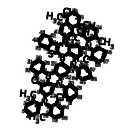 Cc1ccccc1N(c1cc2c3c(c1)N(c1ccccc1)c1cc4c(cc1B3c1ccccc1O2)B1c2sc3ccccc3c2N(c2ccc3c(c2)C(C)(C)CCC3(C)C)c2cc(N(c3ccccc3C)c3c(C)cccc3C)cc(c21)N4c1ccccc1)c1c(C)cccc1C